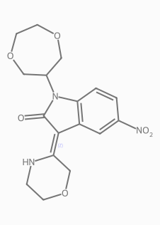 O=C1/C(=C2/COCCN2)c2cc([N+](=O)[O-])ccc2N1C1COCCOC1